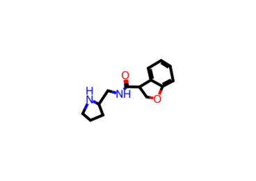 O=C(NCC1CCCN1)C1COc2ccccc21